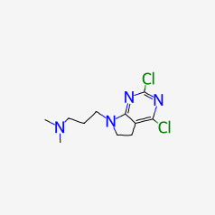 CN(C)CCCN1CCc2c(Cl)nc(Cl)nc21